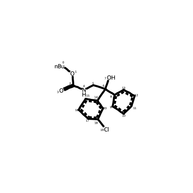 CCCCOC(=O)NCC(O)(c1ccccc1)c1cccc(Cl)c1